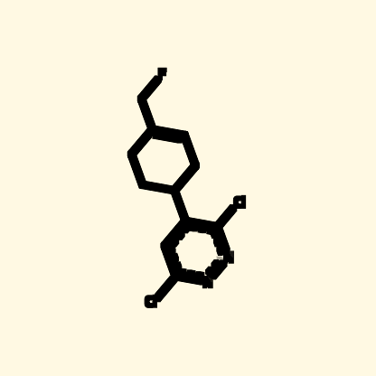 FCC1=CCC(c2cc(Cl)nnc2Cl)CC1